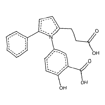 O=C(O)CCc1ccc(-c2ccccc2)n1-c1ccc(O)c(C(=O)O)c1